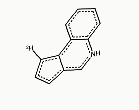 [2H]c1ccc2c[nH]c3ccccc3c1-2